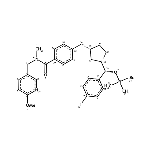 COc1ccc(CN(C)C(=O)c2ccc(C[C@@H]3CC[C@H]([C@H](O[Si](C)(C)C(C)(C)C)c4ccc(F)cc4)C3)cc2)cn1